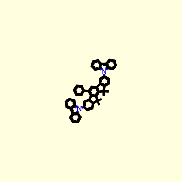 CC1(C)c2ccc(-n3c4ccccc4c4ccccc43)cc2-c2cc(-c3ccccc3)c3c(c21)C(C)(C)C1C=CC(n2c4ccccc4c4ccccc42)=CC31